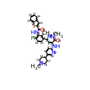 Cc1c(-c2cc(Nc3ccc(C4CCN(C)CC4)cn3)c(=O)n(C)n2)ccc(F)c1NC(=O)c1cc2ccccc2s1